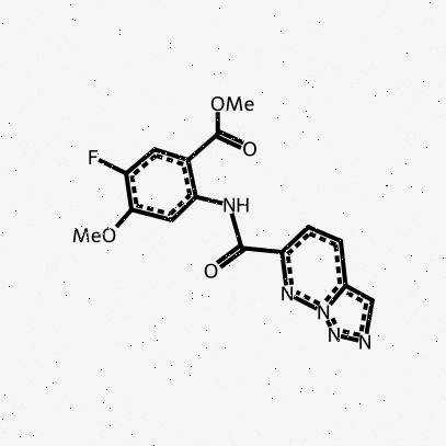 COC(=O)c1cc(F)c(OC)cc1NC(=O)c1ccc2cnnn2n1